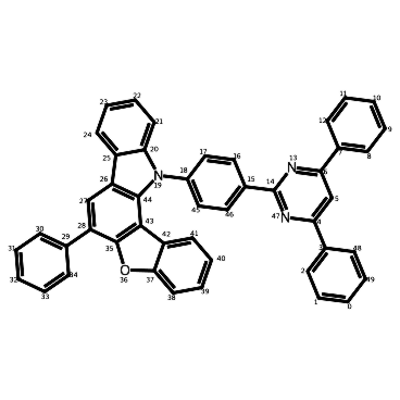 c1ccc(-c2cc(-c3ccccc3)nc(-c3ccc(-n4c5ccccc5c5cc(-c6ccccc6)c6oc7ccccc7c6c54)cc3)n2)cc1